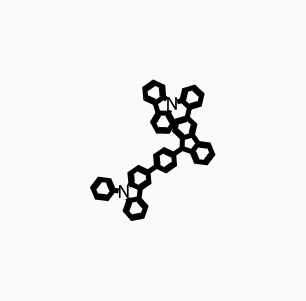 c1ccc(-n2c3ccccc3c3cc(-c4ccc(C5c6ccccc6-c6cc(-c7ccccc7-n7c8ccccc8c8ccccc87)ccc65)cc4)ccc32)cc1